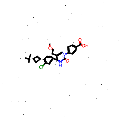 COCCC1=CN(c2ccc(C(=O)O)cc2)C(=O)N[C@@]1(C)c1ccc([C@H]2C[C@@H](C(C)(C)C)C2)c(Cl)c1